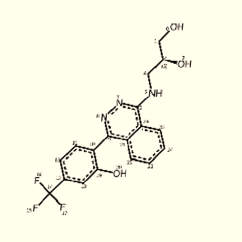 OC[C@@H](O)CNc1nnc(-c2ccc(C(F)(F)F)cc2O)c2ccccc12